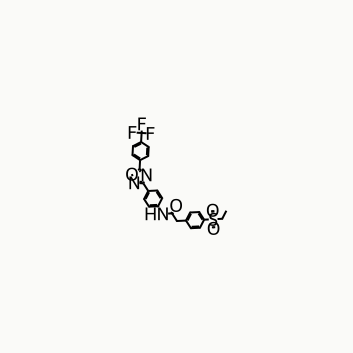 CCS(=O)(=O)c1ccc(CC(=O)Nc2ccc(-c3noc(-c4ccc(C(F)(F)F)cc4)n3)cc2)cc1